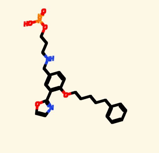 O=[PH](O)OCCCNCc1ccc(OCCCCCc2ccccc2)c(-c2ncco2)c1